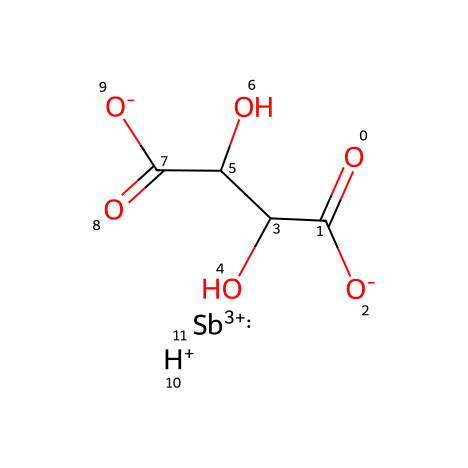 O=C([O-])C(O)C(O)C(=O)[O-].[H+].[Sb+3]